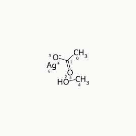 CC(=O)[O-].CO.[Ag+]